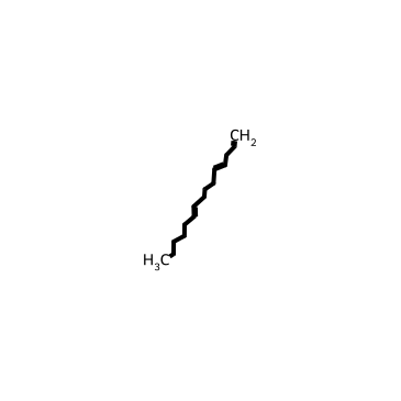 C=CCC=CCCCC=CCCCCC